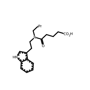 CC(C)CN(CCc1c[nH]c2ccccc12)C(=O)CCCC(=O)O